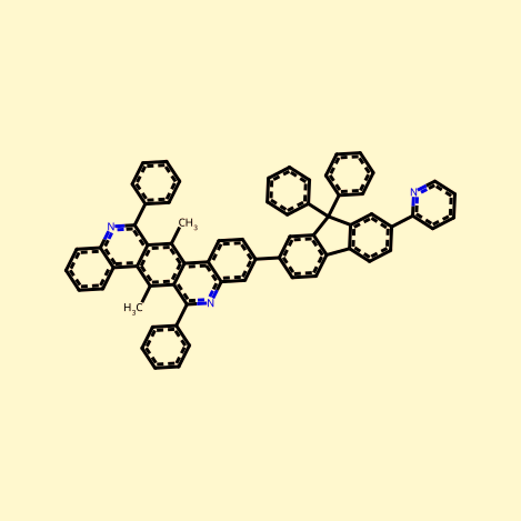 Cc1c2c(-c3ccccc3)nc3cc(-c4ccc5c(c4)C(c4ccccc4)(c4ccccc4)c4cc(-c6ccccn6)ccc4-5)ccc3c2c(C)c2c(-c3ccccc3)nc3ccccc3c12